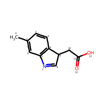 Cc1ccc2c(c1)N=CC2CC(=O)O